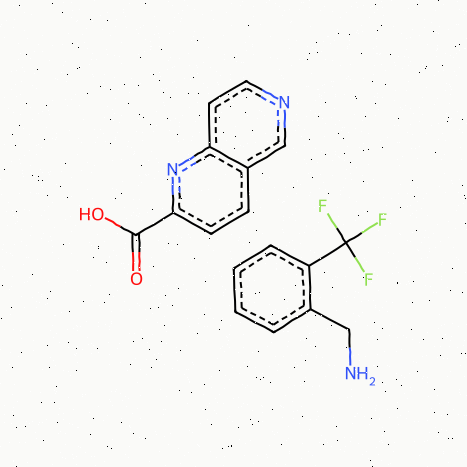 NCc1ccccc1C(F)(F)F.O=C(O)c1ccc2cnccc2n1